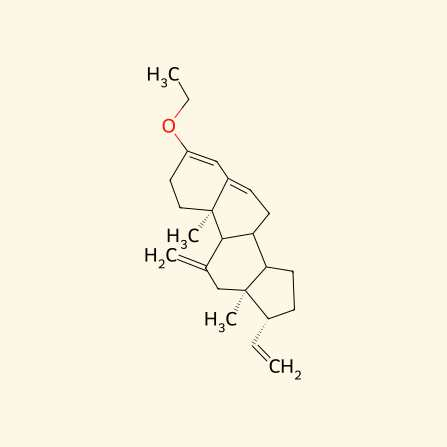 C=C[C@H]1CCC2C3CC=C4C=C(OCC)CC[C@]4(C)C3C(=C)C[C@@]21C